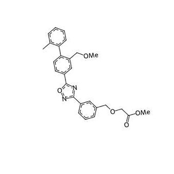 COCc1cc(-c2nc(-c3cccc(COCC(=O)OC)c3)no2)ccc1-c1ccccc1C